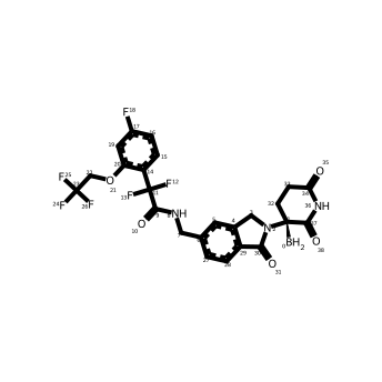 B[C@@]1(N2Cc3cc(CNC(=O)C(F)(F)c4ccc(F)cc4OCC(F)(F)F)ccc3C2=O)CCC(=O)NC1=O